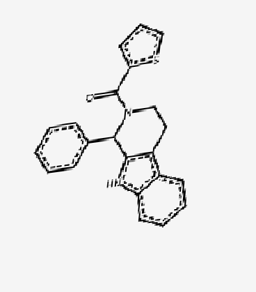 O=C(c1cccs1)N1CCc2c([nH]c3ccccc23)C1c1ccccc1